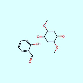 COC1=CC(=O)C(OC)=CC1=O.O=Cc1ccccc1O